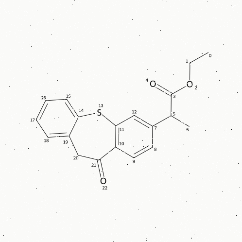 CCOC(=O)C(C)c1ccc2c(c1)Sc1ccccc1CC2=O